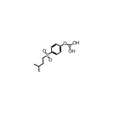 CC(C)CCS(=O)(=O)c1ccc(OB(O)O)cc1